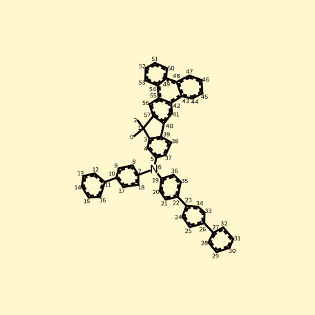 CC1(C)c2cc(N(c3ccc(-c4ccccc4)cc3)c3ccc(-c4ccc(-c5ccccc5)cc4)cc3)ccc2-c2cc3c4ccccc4c4ccccc4c3cc21